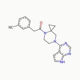 N#Cc1cccc(CC(=O)N2CCN(c3ncnc4[nH]ccc34)CC23CC3)c1